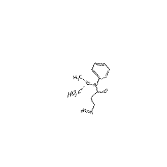 CCCCCCCCCCCC(=O)N(c1ccccc1)[C@@H](C)C(=O)O